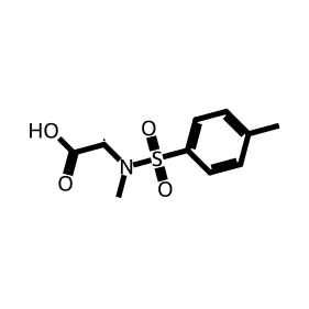 Cc1ccc(S(=O)(=O)N(C)[CH]C(=O)O)cc1